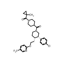 CC1(C(=O)N2CCC(C(=O)N3CC[C@@H](CCOc4ccc(C(F)(F)F)cn4)[C@@H](c4ccc(Cl)cc4)C3)CC2)CC1